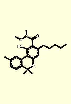 CCCCCc1cc2c(c(O)c1C(=O)N(C)OC)-c1cc(C)ccc1C(C)(C)O2